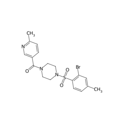 Cc1ccc(S(=O)(=O)N2CCN(C(=O)c3ccc(C)nc3)CC2)c(Br)c1